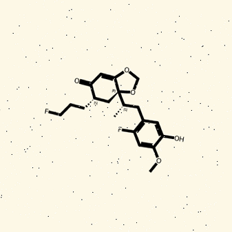 COc1cc(F)c(C[C@H](C)[C@]23C[C@H](CCCF)C(=O)C=C2OCO3)cc1O